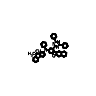 CC1(C)c2ccccc2-c2ccc(N(c3ccccc3)c3cc(-c4nc(-c5ccccc5)nc(-c5ccccc5)n4)c4c(c3)oc3cc5ccccc5cc34)cc21